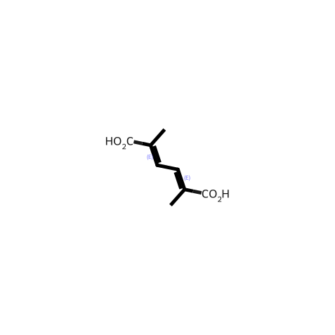 C/C(=C\C=C(/C)C(=O)O)C(=O)O